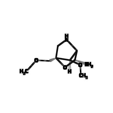 B[C@@H]1O[C@@]2(COC)CNC1[C@H]2OC